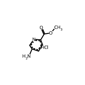 COC(=O)c1ccc(N)cn1.Cl